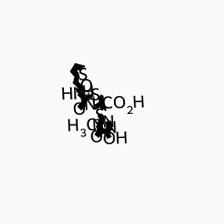 Cn1c(SCC2(C(=O)O)CS[C@@H]3C(NC(=O)Cc4cccs4)C(=O)N3C2)nnc(O)c1=O